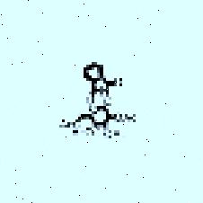 CC(=O)OCC1O[C@@H](ON2C(=O)c3ccccc3C2=O)C(OC(C)=O)[C@@H](OC(C)=O)[C@@H]1OC(C)=O